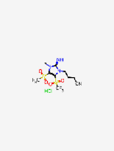 Cl.Cn1c(S(=O)(=O)C(F)(F)F)c(S(=O)(=O)C(F)(F)F)n(CCCC#N)c1=N